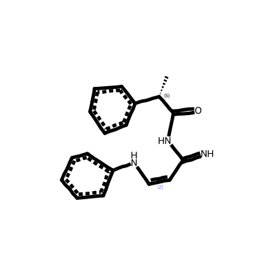 C[C@H](C(=O)NC(=N)/C=C\Nc1ccccc1)c1ccccc1